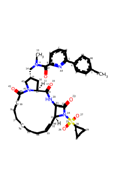 Cc1ccc(-c2cccc(C(=O)N(C)C[C@@H]3C[C@H]4C(=O)NC5C(=O)N(S(=O)(=O)C6CC6)[C@H]5/C=C\CCCCCCC(=O)N4C3)n2)cc1